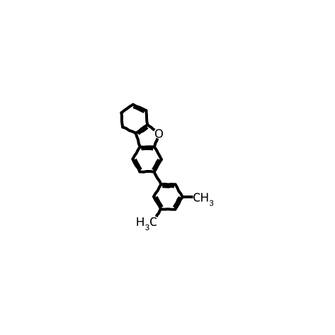 Cc1cc(C)cc(-c2ccc3c4c(oc3c2)C=CCC4)c1